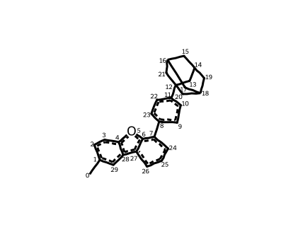 Cc1ccc2oc3c(-c4ccc(C56CC7CC(CC(C7)C5)C6)cc4)cccc3c2c1